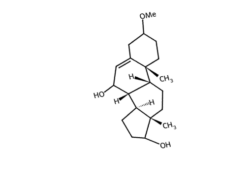 COC1CC[C@@]2(C)C(=CC(O)[C@@H]3[C@H]2CC[C@]2(C)C(O)CC[C@@H]32)C1